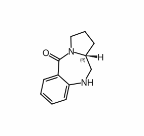 O=C1c2ccccc2NC[C@H]2CCCN12